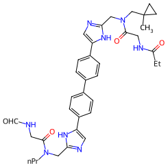 CCCN(Cc1ncc(-c2ccc(-c3ccc(-c4cnc(CN(CC5(C)CC5)C(=O)CNC(=O)CC)[nH]4)cc3)cc2)[nH]1)C(=O)CNC=O